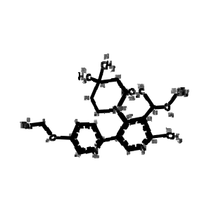 CCC(C)COc1ccc(-c2cnc(C)c(C(OC(C)(C)C)C(=O)O)c2N2CCC(C)(C)CC2)nc1